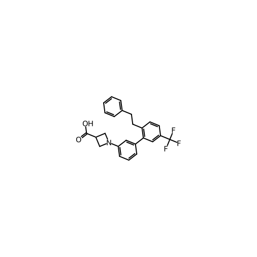 O=C(O)C1CN(c2cccc(-c3cc(C(F)(F)F)ccc3CCc3ccccc3)c2)C1